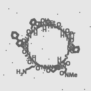 CC[C@@H]1NC(=O)[C@H](C)NC(=O)[C@H](C(C)C)NC(=O)[C@H](Cc2ccccc2)NC(=O)CSC[C@@H](C(=O)NCC(=O)NC)NC(=O)[C@@H]2CCCN2C(=O)[C@H](C)NC(=O)[C@H](CCCCN)NC(=O)[C@H](C)N(C)C(=O)[C@H](Cc2ccc(-c3ccccc3)cc2)NC(=O)[C@H](C)N(C)C(=O)[C@H](Cc2ccccc2)NC(=O)[C@H]([C@@H](C)O)NC1=O